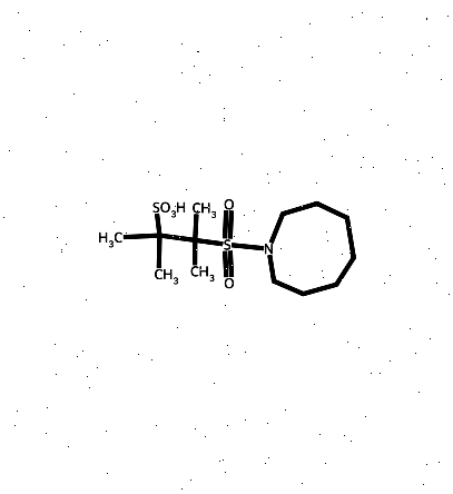 CC(C)(C(C)(C)S(=O)(=O)N1CCCCCCC1)S(=O)(=O)O